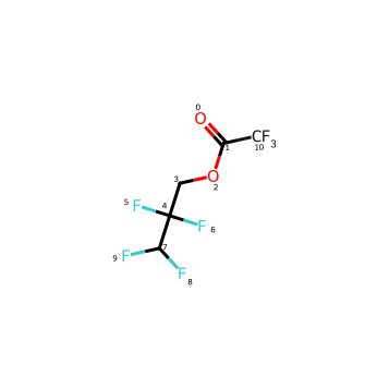 O=C(OCC(F)(F)C(F)F)C(F)(F)F